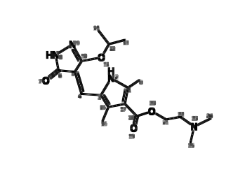 Cc1[nH]c(C=C2C(=O)NN=C2OC(C)C)c(C)c1C(=O)OCCN(C)C